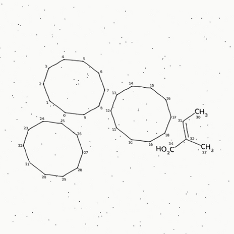 C1CCCCCCCCC1.C1CCCCCCCCC1.C1CCCCCCCCC1.CC=C(C)C(=O)O